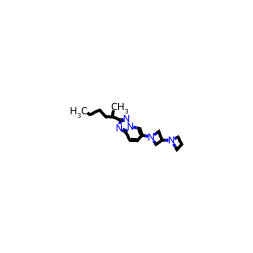 CCCCC(C)c1nc2ccc(N3CC(N4CCC4)C3)cn2n1